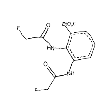 CCOC(=O)c1cccc(NC(=O)CF)c1NC(=O)CF